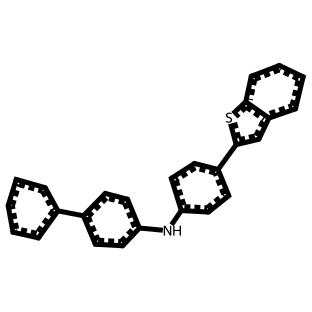 c1ccc(-c2ccc(Nc3ccc(-c4cc5ccccc5s4)cc3)cc2)cc1